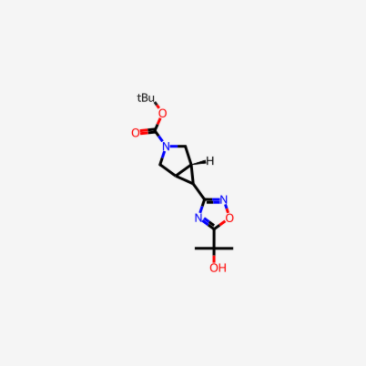 CC(C)(C)OC(=O)N1CC2C(c3noc(C(C)(C)O)n3)[C@H]2C1